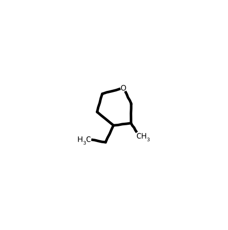 CCC1CCOCC1C